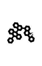 c1ccc(-c2c3ccccc3c(-c3cc(-c4cccc5c4ccc4c6ccccc6sc54)cc4ccccc34)c3ccccc23)cc1